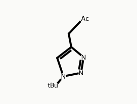 CC(=O)Cc1cn(C(C)(C)C)nn1